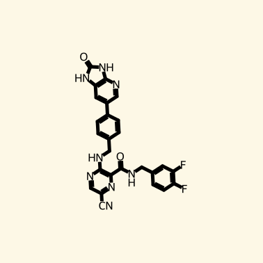 N#Cc1cnc(NCc2ccc(-c3cnc4[nH]c(=O)[nH]c4c3)cc2)c(C(=O)NCc2ccc(F)c(F)c2)n1